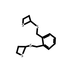 c1ccc(CSC2CCS2)c(CSC2CCS2)c1